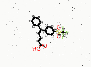 O=C(O)/C=C/C=C(c1ccccc1)c1ccc(S(=O)(=O)C(F)(F)F)cc1